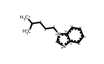 CC(C)CCCn1cnc2ccccc21